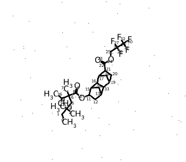 CCC(C)(C)CC(C)(C(=O)OC1CC2CC1C1C3CC(CC3C(=O)OCC(F)(F)C(F)(F)F)C21)C(C)C